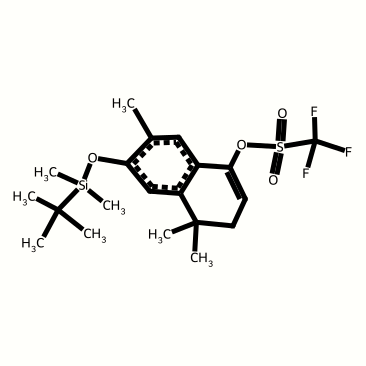 Cc1cc2c(cc1O[Si](C)(C)C(C)(C)C)C(C)(C)CC=C2OS(=O)(=O)C(F)(F)F